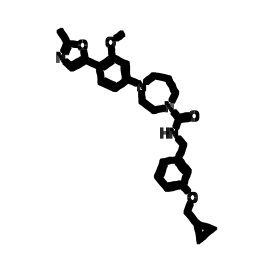 COc1cc(N2CCCN(C(=O)NCc3cccc(OCC4CC4)c3)CC2)ccc1-c1cnc(C)o1